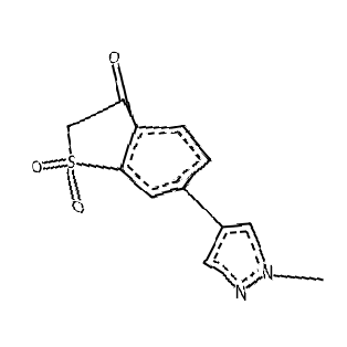 Cn1cc(-c2ccc3c(c2)S(=O)(=O)CC3=O)cn1